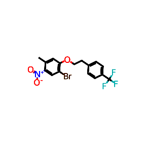 Cc1cc(OCCc2ccc(C(F)(F)F)cc2)c(Br)cc1[N+](=O)[O-]